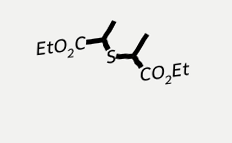 CCOC(=O)C(C)SC(C)C(=O)OCC